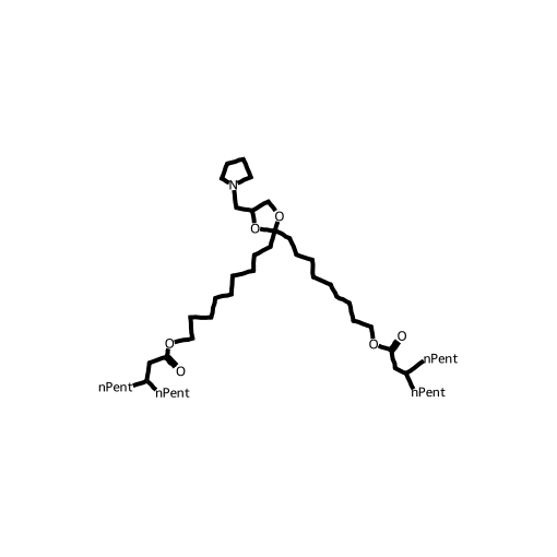 CCCCCC(CCCCC)CC(=O)OCCCCCCCCCC1(CCCCCCCCCOC(=O)CC(CCCCC)CCCCC)OCC(CN2CCCC2)O1